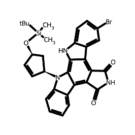 CC(C)(C)[Si](C)(C)O[C@@H]1C=C[C@H](n2c3ccccc3c3c4c(c5c6cc(Br)ccc6[nH]c5c32)C(=O)NC4=O)C1